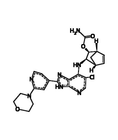 NC(=O)O[C@@H]1[C@H](Nc2c(Cl)cnc3[nH]c(-c4ccnc(N5CCOCC5)c4)nc23)[C@H]2C=C[C@@H]1C2